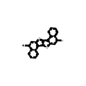 Brc1cc2sc3c(sc4cc(Br)c5ccccc5c43)c2c2ccccc12